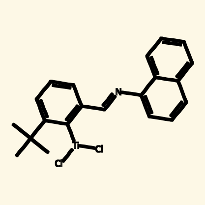 CC(C)(C)c1cccc(C=Nc2cccc3ccccc23)[c]1[Ti]([Cl])[Cl]